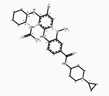 COc1cc(C(=O)NC2CCN(C3CC3)CC2)ccc1Nc1ncc(Br)c(N[C@@H]2CCCC[C@H]2NC(C)=O)n1